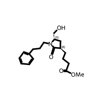 COC(=O)CCC[C@@H]1C[C@@H](CO)N(CCCc2ccccc2)C1=O